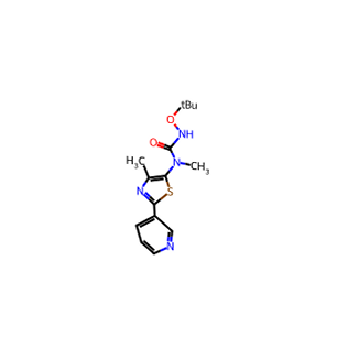 Cc1nc(-c2cccnc2)sc1N(C)C(=O)NOC(C)(C)C